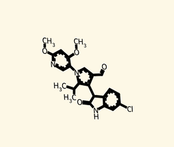 COc1cc(OC)c(-n2cc(C=O)c(C3C(=O)Nc4cc(Cl)ccc43)c2C(C)C)cn1